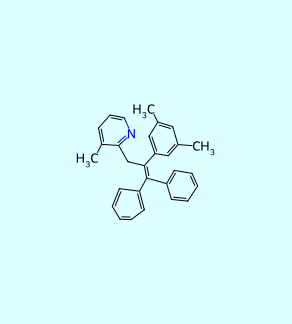 Cc1cc(C)cc(C(Cc2ncccc2C)=C(c2ccccc2)c2ccccc2)c1